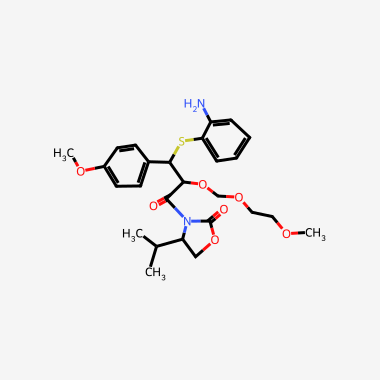 COCCOCOC(C(=O)N1C(=O)OCC1C(C)C)C(Sc1ccccc1N)c1ccc(OC)cc1